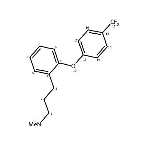 CNCCCc1ccccc1Oc1ccc(C(F)(F)F)cc1